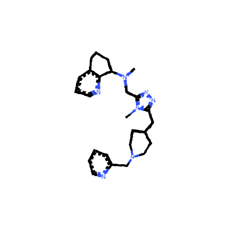 CN(Cc1nnc(CC2CCN(Cc3ccccn3)CC2)n1C)C1CCCc2cccnc21